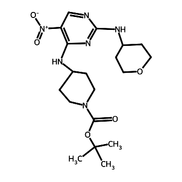 CC(C)(C)OC(=O)N1CCC(Nc2nc(NC3CCOCC3)ncc2[N+](=O)[O-])CC1